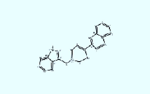 C1=C(c2ccc3ccccc3c2)CCN(Cc2n[nH]c3ccccc23)C1